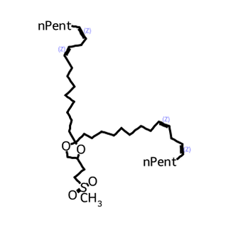 CCCCC/C=C\C/C=C\CCCCCCCCC1(CCCCCCCC/C=C\C/C=C\CCCCC)OCC(CCS(C)(=O)=O)O1